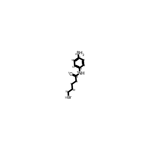 Bc1ccc(NC(=O)CCCCBr)cc1